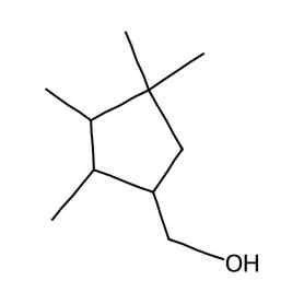 CC1C(CO)CC(C)(C)C1C